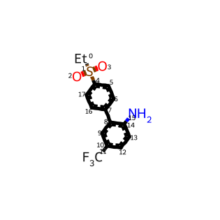 CCS(=O)(=O)c1ccc(-c2cc(C(F)(F)F)ccc2N)cc1